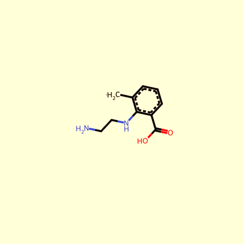 [CH2]c1cccc(C(=O)O)c1NCCN